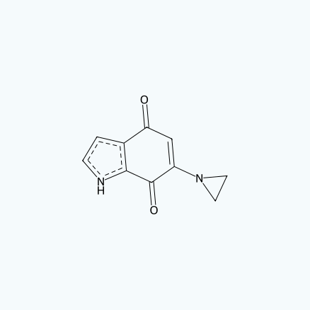 O=C1C=C(N2CC2)C(=O)c2[nH]ccc21